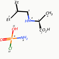 CCC(CC)CN[C@@H](C)C(=O)O.NP(=O)(O)Cl